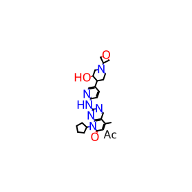 CC(=O)c1c(C)c2cnc(Nc3ccc(C4CCN(C5COC5)C[C@@H]4O)cn3)nc2n(C2CCCC2)c1=O